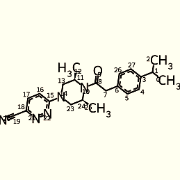 CC(C)c1ccc(CC(=O)N2[C@H](C)CN(c3ccc(C#N)nn3)C[C@@H]2C)cc1